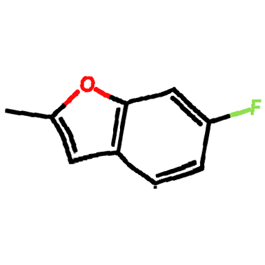 Cc1cc2[c]cc(F)cc2o1